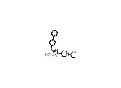 CCC(CC)N1CCC(c2noc(Cc3ccc(-c4ccccc4)cc3)n2)CC1.Cl